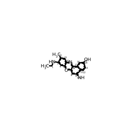 CCNc1cc2oc3cc(=N)c4ccc(O)cc4c-3nc2cc1C